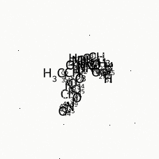 CC(C)=Cc1cc(OC2C[C@@H](C(N)=O)N(C(=O)[C@@H](NC(=O)O[C@@H]3C[C@@H]4C[C@@H]4C3)C(C)(C)C)C2)c2ccc(OCCN3CCOCC3)c(Cl)c2n1